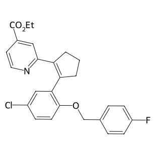 CCOC(=O)c1ccnc(C2=C(c3cc(Cl)ccc3OCc3ccc(F)cc3)CCC2)c1